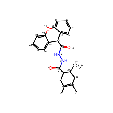 CC1=C(C)CC(C(=O)NNC(=O)C2c3ccccc3Oc3ccccc32)C(C(=O)O)C1